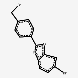 BrCc1ccc(-c2nc3ccc(Br)cc3o2)cc1